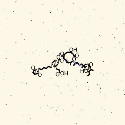 CCC(O)C(C)[C@H]1O[C@@H]1CC(C)(O)/C=C/C=C(\C)[C@H]1OC(=O)C[C@H](O)CC[C@@](C)(OC)[C@@H](OC(=O)N2CCN(CCCCCCN3C(=O)C=CC3=O)[C@H](CCC(=O)O)C2)/C=C/[C@@H]1C